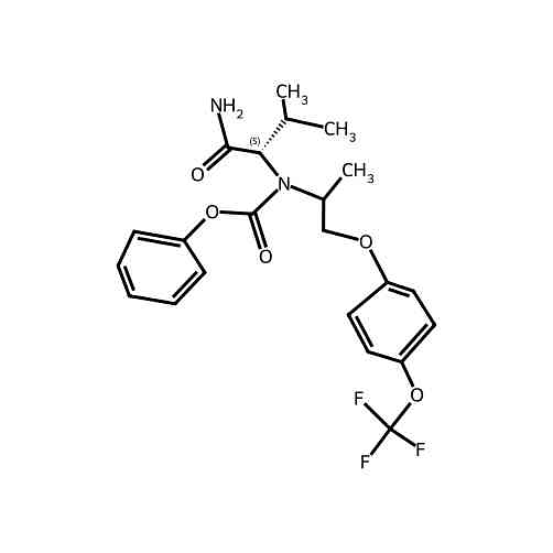 CC(C)[C@@H](C(N)=O)N(C(=O)Oc1ccccc1)C(C)COc1ccc(OC(F)(F)F)cc1